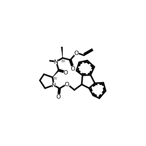 C=COC(=O)[C@H](C)N(C)C(=O)[C@@H]1CCCN1C(=O)OCC1c2ccccc2-c2ccccc21